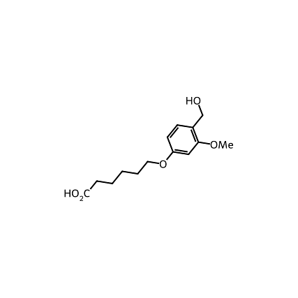 COc1cc(OCCCCCC(=O)O)ccc1CO